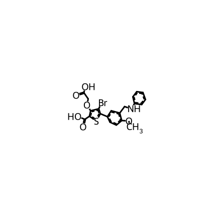 COc1ccc(-c2sc(C(=O)O)c(OCC(=O)O)c2Br)cc1CNc1ccccc1